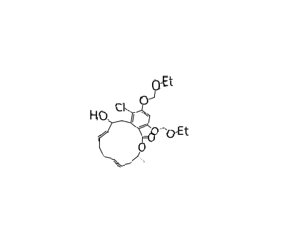 CCOCOc1cc(OCOCC)c2c(c1Cl)CC(O)/C=C/CC/C=C/C[C@@H](C)OC2=O